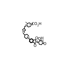 C[C@H]1CN(C(=O)O)CCN1CC1CN(CC2CCN(c3ccc4c(c3)C(=O)N(C3CCC(=O)NC3=O)C4=O)CC2)C1